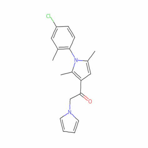 Cc1cc(Cl)ccc1-n1c(C)cc(C(=O)Cn2cccc2)c1C